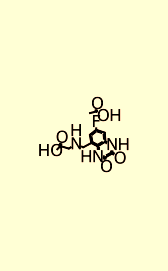 CC(=O)O.O=C(O)CNCc1cc(F)cc2[nH]c(=O)c(=O)[nH]c12